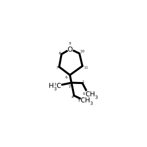 CCC(C)(CC)C1CCOCC1